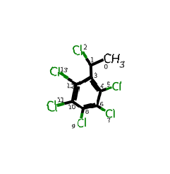 CC(Cl)c1c(Cl)c(Cl)c(Cl)c(Cl)c1Cl